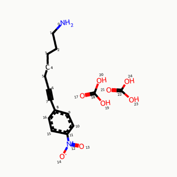 NCCCCCC#Cc1ccc([N+](=O)[O-])cc1.O=C(O)O.O=C(O)O